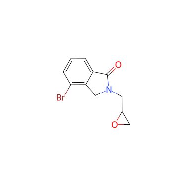 O=C1c2cccc(Br)c2CN1CC1CO1